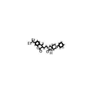 CCN(CC)c1ccc2c(c1)OC(=O)C(CCN1CC3(CCN(c4ccccc4)CC3)NC1=O)C2C